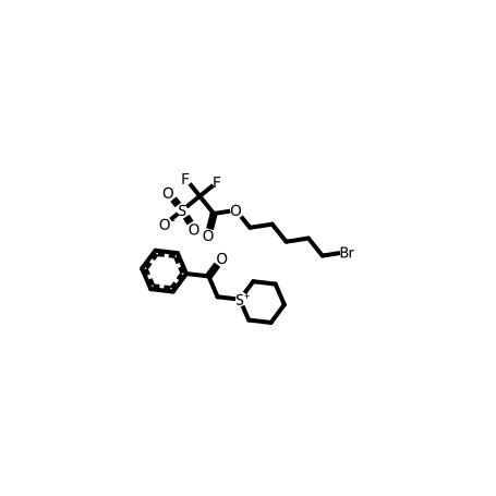 O=C(C[S+]1CCCCC1)c1ccccc1.O=C(OCCCCCBr)C(F)(F)S(=O)(=O)[O-]